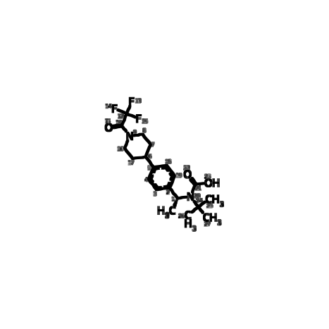 C[C@@H](c1ccc(C2CCN(C(=O)C(F)(F)F)CC2)cc1)N(C(=O)O)C(C)(C)C